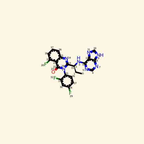 CC[C@H](Nc1ncnc2[nH]cnc12)c1nc2cccc(F)c2c(=O)n1-c1ccc(F)cc1F